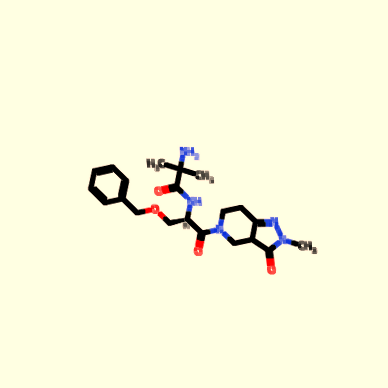 CN1N=C2CCN(C(=O)[C@@H](COCc3ccccc3)NC(=O)C(C)(C)N)CC2C1=O